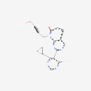 COc1ncnc(C2CC2)c1-c1ncc2ccc(=O)n(CC#CCO)c2n1